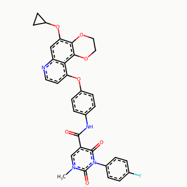 Cn1cc(C(=O)Nc2ccc(Oc3ccnc4cc(OC5CC5)c5c(c34)OCCO5)cc2)c(=O)n(-c2ccc(F)cc2)c1=O